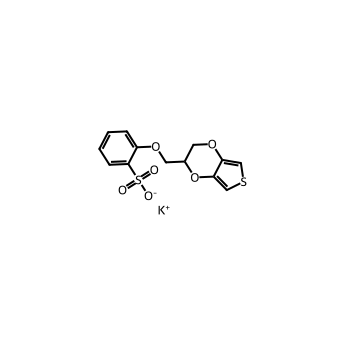 O=S(=O)([O-])c1ccccc1OCC1COc2cscc2O1.[K+]